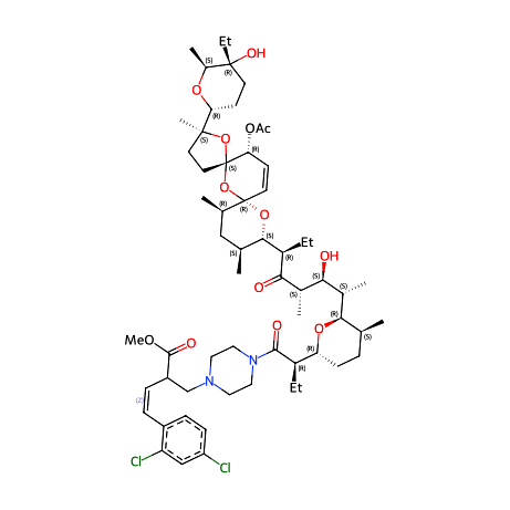 CC[C@@H](C(=O)[C@@H](C)[C@@H](O)[C@H](C)[C@@H]1O[C@@H]([C@@H](CC)C(=O)N2CCN(CC(/C=C\c3ccc(Cl)cc3Cl)C(=O)OC)CC2)CC[C@@H]1C)[C@H]1O[C@]2(C=C[C@@H](OC(C)=O)[C@]3(CC[C@@](C)([C@H]4CC[C@](O)(CC)[C@H](C)O4)O3)O2)[C@H](C)C[C@@H]1C